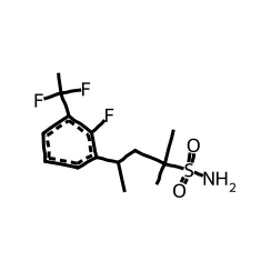 CC(CC(C)(C)S(N)(=O)=O)c1cccc(C(C)(F)F)c1F